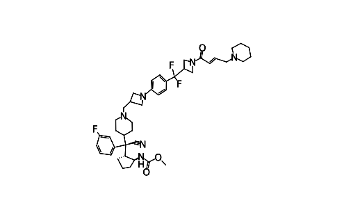 COC(=O)N[C@H]1CCC[C@@H]1[C@](C#N)(c1cccc(F)c1)C1CCN(CC2CN(c3ccc(C(F)(F)C4CN(C(=O)/C=C/CN5CCCCC5)C4)cc3)C2)CC1